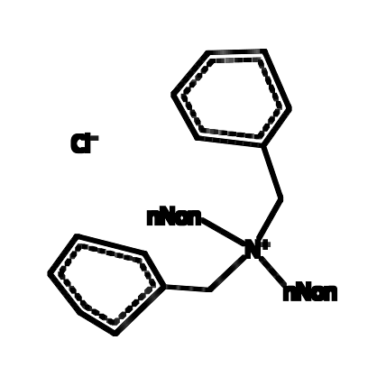 CCCCCCCCC[N+](CCCCCCCCC)(Cc1ccccc1)Cc1ccccc1.[Cl-]